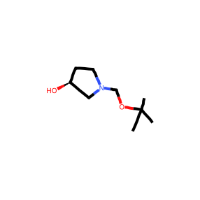 CC(C)(C)OCN1CC[C@H](O)C1